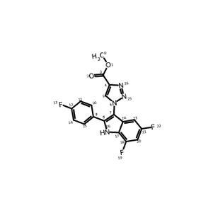 COC(=O)c1cn(-c2c(-c3ccc(F)cc3)[nH]c3c(F)cc(F)cc23)nn1